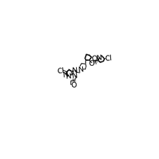 C[C@]1(c2ccc(Cl)cn2)Oc2cccc(C3CCN(Cc4nc5cc(Cl)nnc5n4C[C@@H]4CCO4)CC3)c2O1